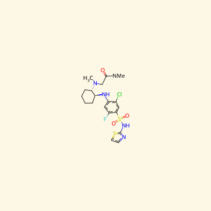 CNC(=O)CN(C)[C@H]1CCCC[C@@H]1Nc1cc(F)c(S(=O)(=O)Nc2nccs2)cc1Cl